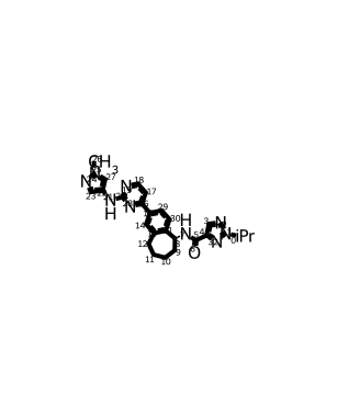 CC(C)n1ncc(C(=O)N[C@@H]2CCCCc3cc(-c4ccnc(Nc5cnn(C)c5)n4)ccc32)n1